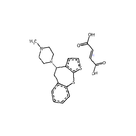 CN1CCN(C2Cc3ccccc3Sc3sccc32)CC1.O=C(O)/C=C/C(=O)O